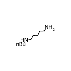 CCCCNCCCCCN